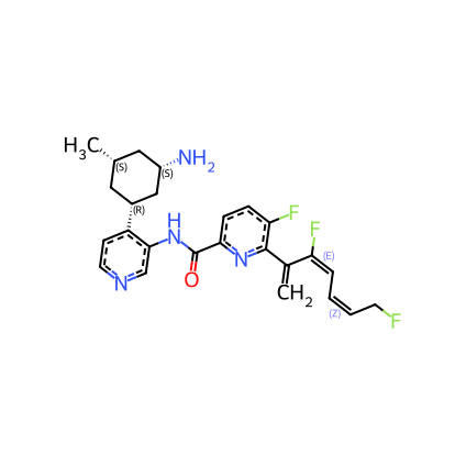 C=C(/C(F)=C\C=C/CF)c1nc(C(=O)Nc2cnccc2[C@@H]2C[C@H](C)C[C@H](N)C2)ccc1F